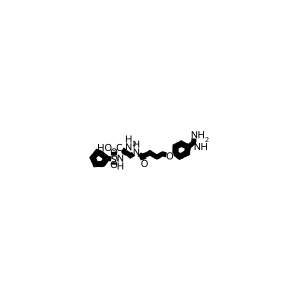 N=C(N)c1ccc(OCCCC(=O)NCC(N)(NS(=O)(=O)c2ccccc2)C(=O)O)cc1